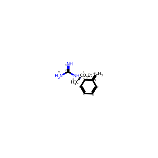 C=C1C=CC=CC1.CCOC(C)=O.N=C(N)N